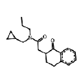 CCCN(CC1CC1)C(=O)CC1CCc2ccccc2C1=O